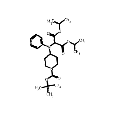 CC(C)OC(=O)C(C(=O)OC(C)C)N(c1ccccc1)C1CCN(C(=O)OC(C)(C)C)CC1